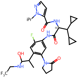 CC(c1cc(F)c(NC(=O)[C@@H](NC(=O)c2ccnn2C(C)C)C(C2CC2)C2CC2)cc1N1CCCC1=O)C(O)NCC(F)(F)F